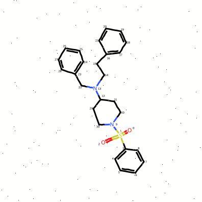 O=S(=O)(c1ccccc1)N1CCC(N(CCc2ccccc2)Cc2ccccc2)CC1